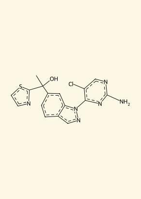 CC(O)(c1ccc2cnn(-c3nc(N)ncc3Cl)c2c1)c1nccs1